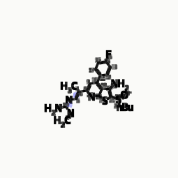 C=N/C(N)=N\C=C(/C)c1cc(-c2ccc(F)cc2)c2c(N)c([S@@+]([O-])CCCC)sc2n1